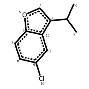 CC(C)c1coc2ccc(Cl)cc12